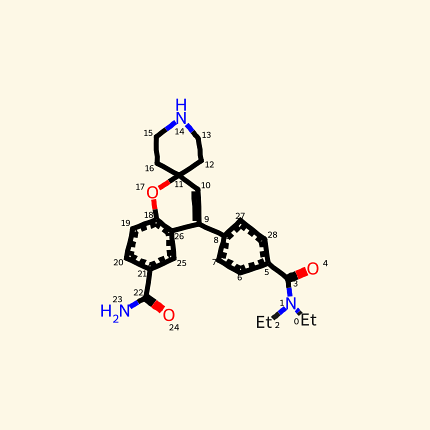 CCN(CC)C(=O)c1ccc(C2=CC3(CCNCC3)Oc3ccc(C(N)=O)cc32)cc1